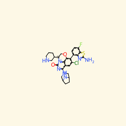 Nc1nc2c(-c3c(Cl)cc4c(N5CC6CCC(C5)N6)nc(=O)n5c4c3OC[C@@H]5C3CCCNC3)ccc(F)c2s1